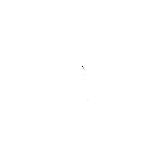 O=C(N[C@@H]1C[C@@H](Cc2ccc(F)cc2)c2ccccc21)c1ccccc1